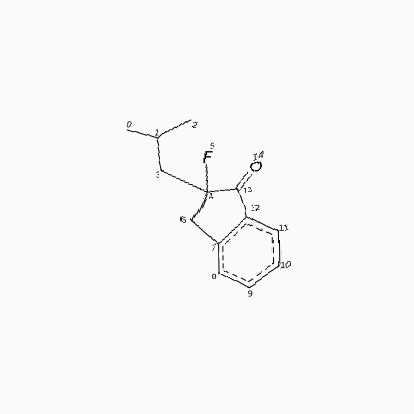 CC(C)CC1(F)Cc2ccccc2C1=O